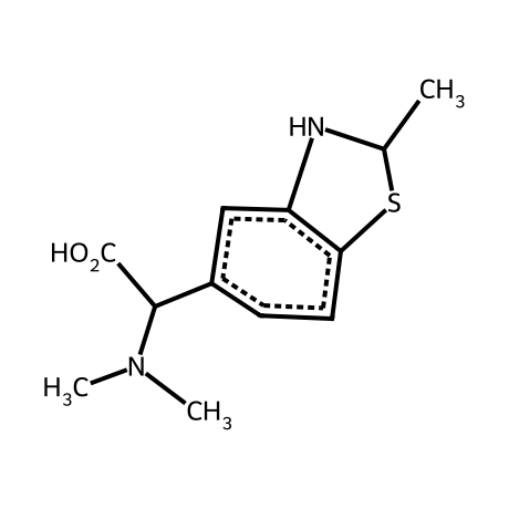 CC1Nc2cc(C(C(=O)O)N(C)C)ccc2S1